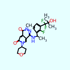 CC(Nc1nn(C)c(=O)c2cc(=O)n(C3CCOCC3)cc12)c1cccc(C(F)(F)C(C)(C)O)c1F